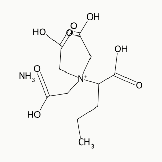 CCCC(C(=O)O)[N+](CC(=O)O)(CC(=O)O)CC(=O)O.N